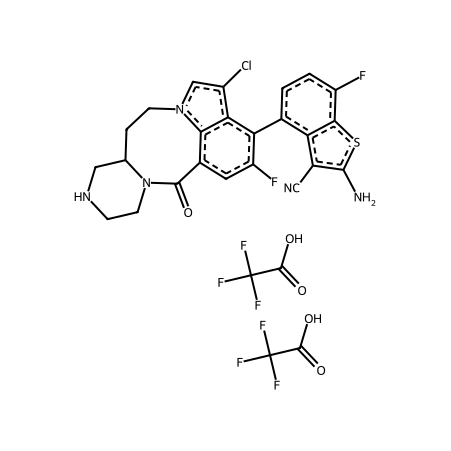 N#Cc1c(N)sc2c(F)ccc(-c3c(F)cc4c5c3c(Cl)cn5CCC3CNCCN3C4=O)c12.O=C(O)C(F)(F)F.O=C(O)C(F)(F)F